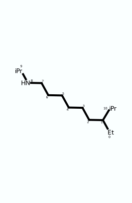 CCC(CCCCCCNC(C)C)C(C)C